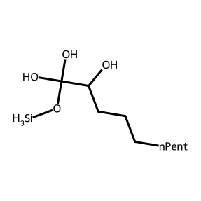 CCCCCCCCC(O)C(O)(O)O[SiH3]